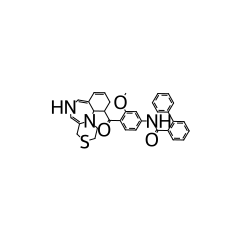 COc1cc(NC(=O)c2ccccc2-c2ccccc2)ccc1C(=O)C1CC=CC2=CNC=C3CSCCN3C21